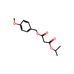 COc1ccc(COC(=O)CC(=O)OC(C)C)cc1